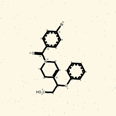 O=C(O)CC(Oc1ccccc1)C1=CCN(C(=O)c2ccc(Br)cc2)CC1